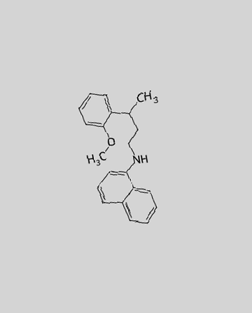 COc1ccccc1C(C)CCNc1cccc2ccccc12